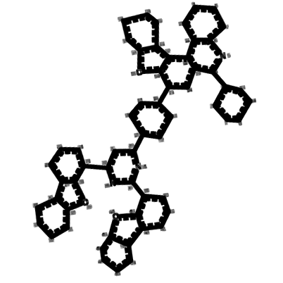 c1ccc(-c2nc3ccccc3c3c2cc(-c2ccc(-c4cc(-c5cccc6c5oc5ccccc56)nc(-c5cccc6c5oc5ccccc56)n4)cc2)c2oc4ccccc4c23)cc1